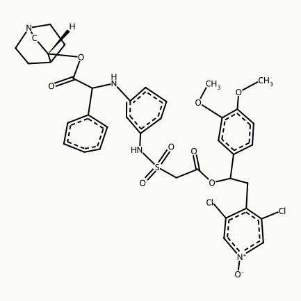 COc1ccc(C(Cc2c(Cl)c[n+]([O-])cc2Cl)OC(=O)CS(=O)(=O)Nc2cccc(NC(C(=O)O[C@H]3CN4CCC3CC4)c3ccccc3)c2)cc1OC